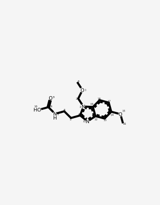 COCn1c(CCNC(=O)O)nc2cc(OC)ccc21